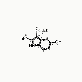 CCCc1[nH]c2ccc(O)cc2c1C(=O)OCC